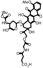 COc1cccc2c1C(=O)c1c(O)c3c(c(O)c1C2=O)CC(O)(C(=O)COC(=O)CNC(=O)CCC(=O)O)C[C@H]3OC1CC(NC(=O)OC(C)(C)C)C(O)=CO1